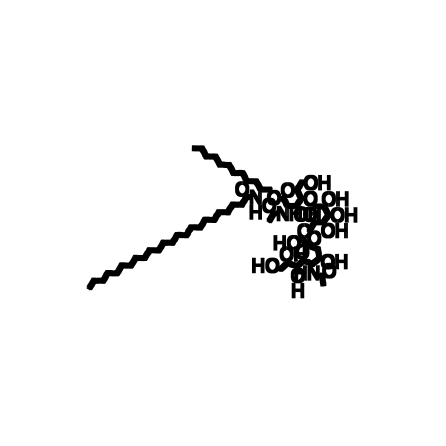 CCCCCCCCCCCCCCCCCCCCCCCC(=O)NC(CCCCCCCCCC)CO[C@@H]1OC(CO)[C@@H](O[C@@H]2OC(CO[C@]3(C(=O)O)C[C@@H](O)[C@@H](NC(C)=O)C([C@H](O)[C@H](O)CO)O3)[C@H](O)C(O)[C@@H]2O)[C@H](O)C1NC(C)=O